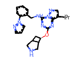 CC(C)c1cnn2c(NCc3ccccc3-n3cccn3)nc(O[C@@H]3CC4CNCC43)nc12